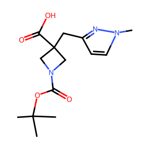 Cn1ccc(CC2(C(=O)O)CN(C(=O)OC(C)(C)C)C2)n1